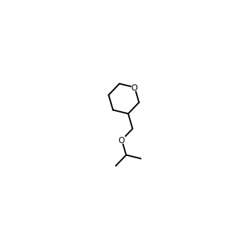 CC(C)OCC1CCCOC1